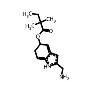 CCC(C)(C)C(=O)OC1C=c2cc(CN)[nH]c2=CC1